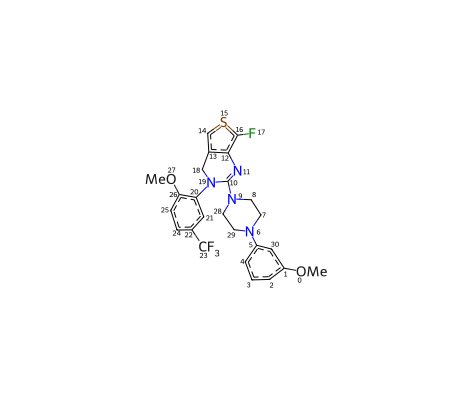 COc1cccc(N2CCN(C3=Nc4c(csc4F)CN3c3cc(C(F)(F)F)ccc3OC)CC2)c1